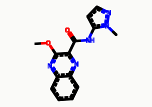 COc1nc2ccccc2nc1C(=O)Nc1ccnn1C